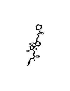 CC#CC[C@H](C)[C@@H](O)/C=C/[C@@H]1[C@H]2c3cccc(CCCC(=O)N4CCCCC4)c3O[C@H]2C[C@H]1O